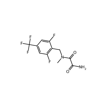 CN(Cc1c(F)cc(C(F)(F)F)cc1F)C(=O)C(N)=O